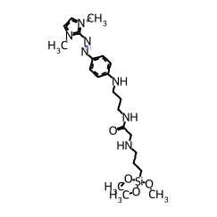 CO[Si](CCCNCC(=O)NCCCNc1ccc(/N=N/c2n(C)cc[n+]2C)cc1)(OC)OC